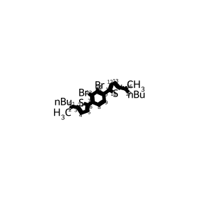 CCCCC(C)c1ccc(-c2ccc(-c3ccc(C(C)CCCC)s3)c(Br)c2Br)s1